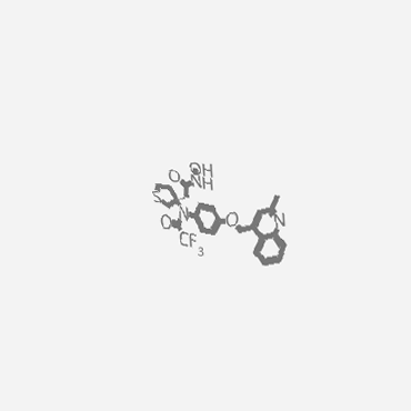 Cc1cc(COc2ccc(N(C(=O)C(F)(F)F)[C@]3(CC(=O)NO)CCSC3)cc2)c2ccccc2n1